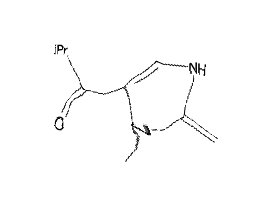 C=C1NC=C(C(=O)C(C)C)N1C